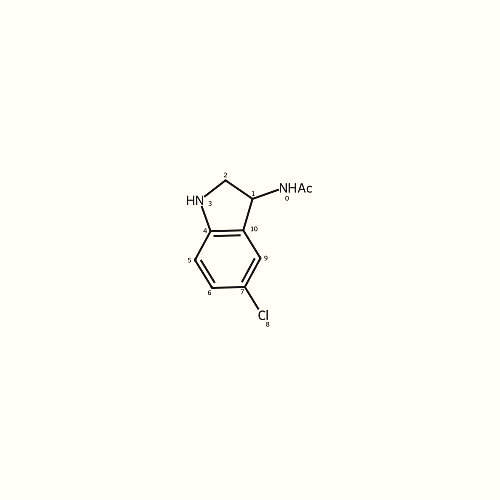 CC(=O)NC1CNc2ccc(Cl)cc21